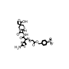 C=CC1(C(=O)O)CS[C@@H]2C(NC(=O)C(=NOCC(=O)OCc3ccc([N+](=O)[O-])cc3)c3csc(N)n3)C(=O)N2C1